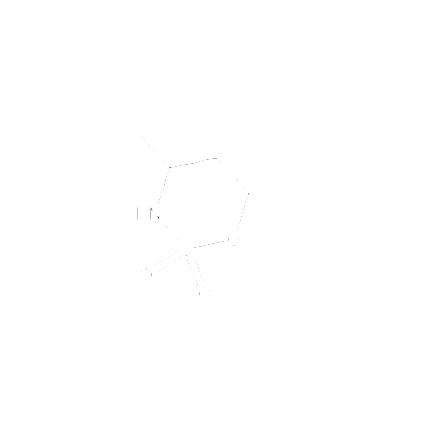 CC1C[C@H](C)OS(=O)(=O)N1